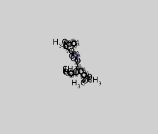 COc1ccc(CC2c3cc(OC)c(OC)cc3CC[N+]2(C)CCCOC(=O)/C=C\C(=O)OCC2CC[N+](C)(Cc3ccccc3)C2)cc1